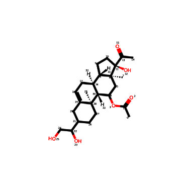 CC(=O)OC1C[C@@]2(C)[C@@H](CC[C@]2(O)C(C)=O)[C@@H]2CC=C3CC(C(O)CO)CC[C@]3(C)[C@@H]12